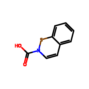 O=C(O)N1C=Cc2ccccc2S1